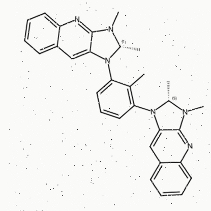 Cc1c(N2c3cc4ccccc4nc3N(C)[C@H]2C)cccc1N1c2cc3ccccc3nc2N(C)[C@@H]1C